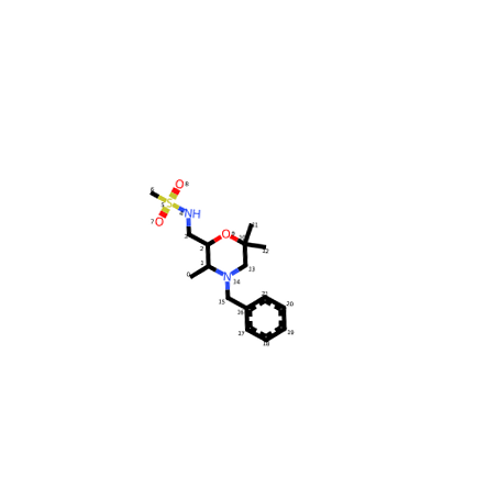 CC1C(CNS(C)(=O)=O)OC(C)(C)CN1Cc1ccccc1